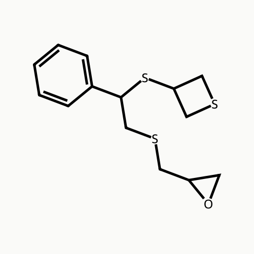 c1ccc(C(CSCC2CO2)SC2CSC2)cc1